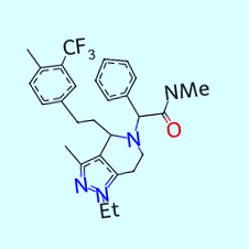 CCn1nc(C)c2c1CCN(C(C(=O)NC)c1ccccc1)C2CCc1ccc(C)c(C(F)(F)F)c1